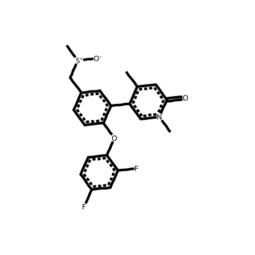 Cc1cc(=O)n(C)cc1-c1cc(C[S+](C)[O-])ccc1Oc1ccc(F)cc1F